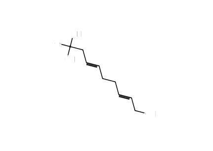 CCC=CCCC=CCC(C)(C)[O]